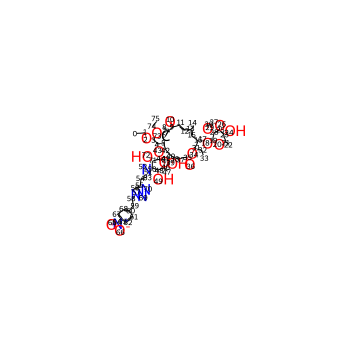 CCOC(C[C@H]1C[C@@H](C)C(=O)/C=C/C(C)=C/[C@H](COC2OC(C)C(O)C(OC)C2OC)[C@@H](CC)OC(=O)C[C@@H](O)[C@H](C)[C@H]1OC1OC(C)C(O)C(N(C)CCc2cn(CCc3ccc([N+](=O)[O-])cc3)nn2)C1O)OCC